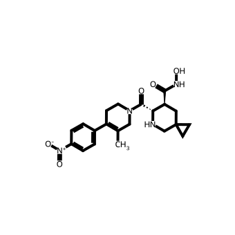 CC1=C(c2ccc([N+](=O)[O-])cc2)CCN(C(=O)[C@H]2NCC3(CC3)C[C@@H]2C(=O)NO)C1